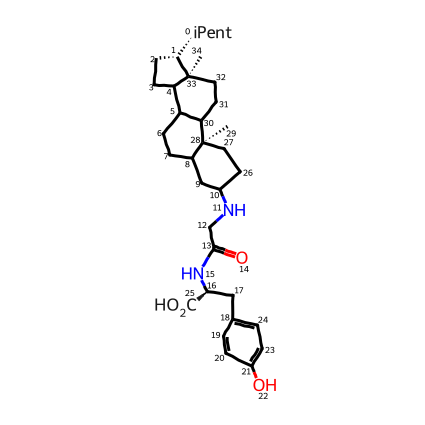 CCC[C@@H](C)[C@H]1CCC2C3CCC4CC(NCC(=O)N[C@@H](Cc5ccc(O)cc5)C(=O)O)CC[C@]4(C)C3CC[C@@]21C